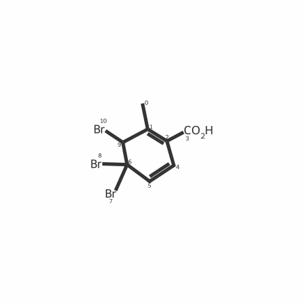 CC1=C(C(=O)O)C=CC(Br)(Br)C1Br